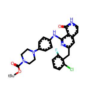 CC(C)(C)OC(=O)N1CCN(c2ccc(Nc3nc(Cc4c(F)cccc4Cl)cc4cc[nH]c(=O)c34)cc2)CC1